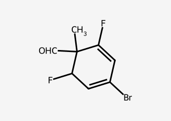 CC1(C=O)C(F)=CC(Br)=CC1F